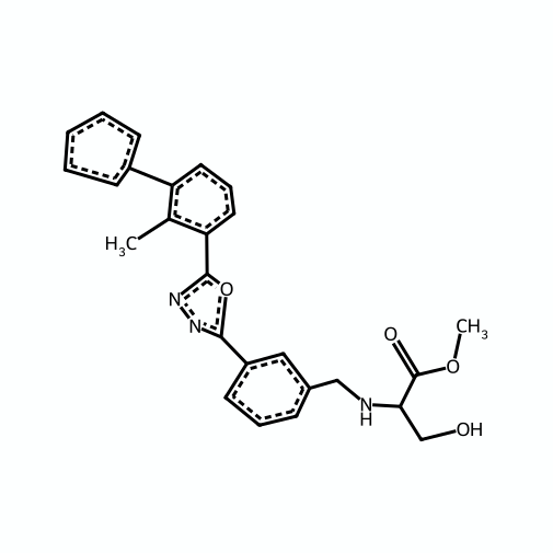 COC(=O)C(CO)NCc1cccc(-c2nnc(-c3cccc(-c4ccccc4)c3C)o2)c1